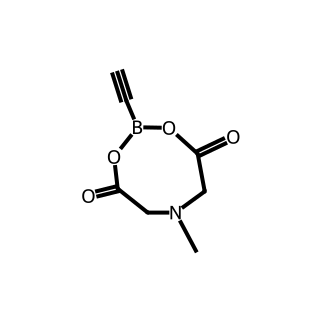 C#CB1OC(=O)CN(C)CC(=O)O1